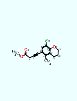 COC(=O)CC#Cc1cc(F)c2c(c1C)CCCO2